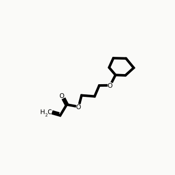 C=CC(=O)OCCCOC1CCCCC1